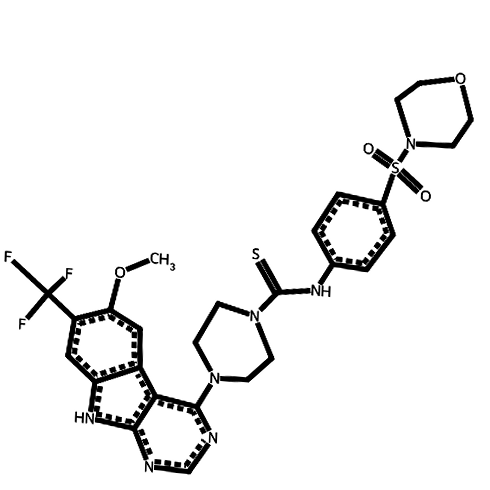 COc1cc2c(cc1C(F)(F)F)[nH]c1ncnc(N3CCN(C(=S)Nc4ccc(S(=O)(=O)N5CCOCC5)cc4)CC3)c12